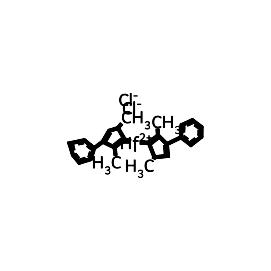 CC1=[C]([Hf+2][C]2=C(C)C(c3ccccc3)=CC2C)C(C)C=C1c1ccccc1.[Cl-].[Cl-]